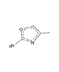 CCCc1nc(C)co1